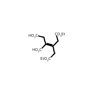 CCOC(=O)CC(CC(=O)OCC)=C(CC(=O)O)C(=O)O